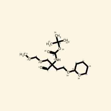 COCOCC(C=O)(CCOC1CCCCO1)NC(=O)OC(C)(C)C